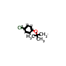 [CH2]C(C)(C)Oc1ccc(Cl)cc1